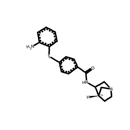 Nc1ccccc1Sc1ccc(C(=O)NC2CN3CC[C@H]2C3)cc1